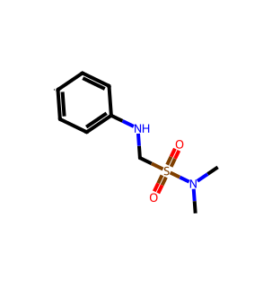 CN(C)S(=O)(=O)CNc1cc[c]cc1